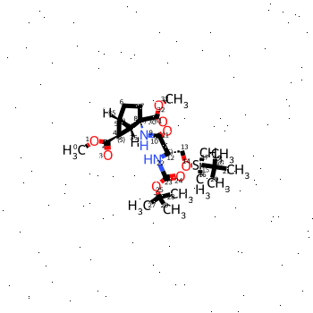 COC(=O)[C@H]1[C@@H]2CC[C@@](NC(=O)[C@H](CO[Si](C)(C)C(C)(C)C)NC(=O)OC(C)(C)C)(C(=O)OC)[C@@H]21